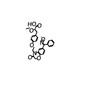 CCOC(Cc1ccc(OCCN2C(=O)COc3ccc(/C(=N/OC)c4ccccc4)cc32)cc1)C(=O)O